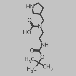 CC(C)(C)OC(=O)NCCN(CC1CCNC1)C(=O)O